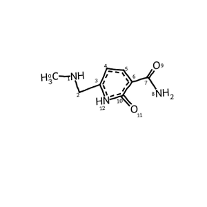 CNCc1ccc(C(N)=O)c(=O)[nH]1